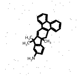 CC1(C)C2=Cc3c(c4ccccc4c4ccccc34)CC2(C)c2ccc(N)cc21